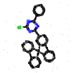 Clc1nc(-c2ccccc2)nc(-c2ccc3c(c2)C2(c4ccccc4-c4ccccc42)c2ccccc2-3)n1